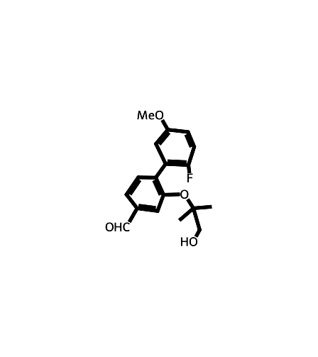 COc1ccc(F)c(-c2ccc(C=O)cc2OC(C)(C)CO)c1